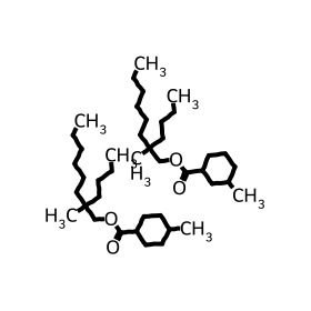 CCCCCCC(C)(CCCC)COC(=O)C1CCC(C)CC1.CCCCCCC(C)(CCCC)COC(=O)C1CCCC(C)C1